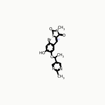 Cc1ncc(C(C)Oc2cc(/C=C3\SC(=O)N(C)C3=O)c(Br)cc2O)cn1